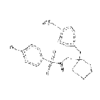 O=C(O)c1ccc(CC2(CNS(=O)(=O)c3ccc(Cl)cc3)CCCC2)cc1